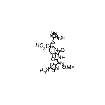 CCCn1nnnc1SCC1(C(=O)O)CS[C@@H]2C(NC(=O)C(=NOC)c3nsc(N)n3)C(=O)N2C1